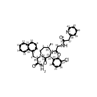 C[C@@H]1CCN([C@H](Cc2cccc3ccccc23)C(N)=O)C(=O)[C@H](c2cccc(Cl)c2)N1C(=O)CNC(=O)Cc1ccccn1